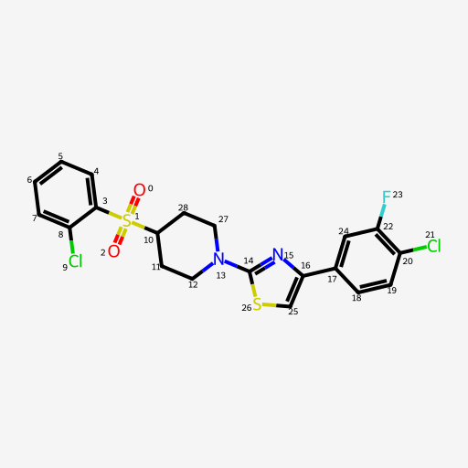 O=S(=O)(c1ccccc1Cl)C1CCN(c2nc(-c3ccc(Cl)c(F)c3)cs2)CC1